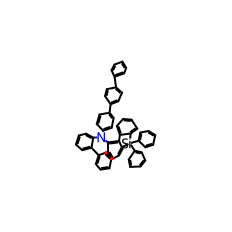 c1ccc(-c2ccc(-c3ccc(N(c4ccccc4-c4ccccc4)c4cccc5c4-c4ccccc4[Si]5(c4ccccc4)c4ccccc4)cc3)cc2)cc1